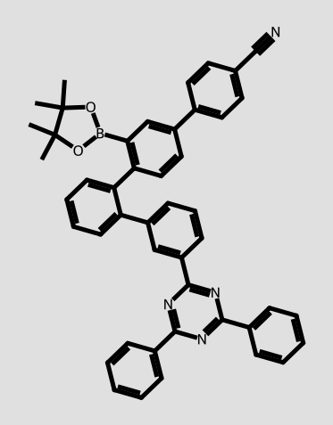 CC1(C)OB(c2cc(-c3ccc(C#N)cc3)ccc2-c2ccccc2-c2cccc(-c3nc(-c4ccccc4)nc(-c4ccccc4)n3)c2)OC1(C)C